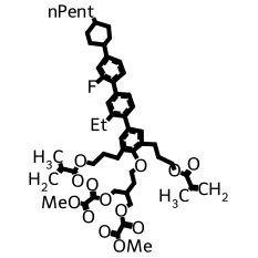 C=C(C)C(=O)OCCCc1cc(-c2ccc(-c3ccc(C4CCC(CCCCC)CC4)cc3F)cc2CC)cc(CCCOC(=O)C(=C)C)c1OCCC(COC(=O)C(=O)OC)COC(=O)C(=O)OC